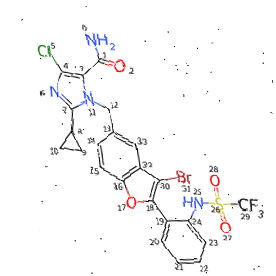 NC(=O)c1c(Cl)nc(C2CC2)n1Cc1ccc2oc(-c3ccccc3NS(=O)(=O)C(F)(F)F)c(Br)c2c1